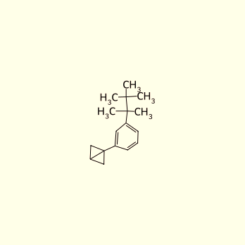 CC(C)(C)C(C)(C)c1cccc(C23CC2C3)c1